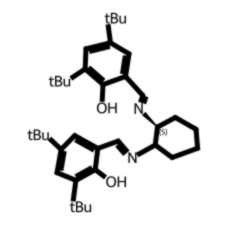 CC(C)(C)c1cc(C=NC2CCCC[C@@H]2N=Cc2cc(C(C)(C)C)cc(C(C)(C)C)c2O)c(O)c(C(C)(C)C)c1